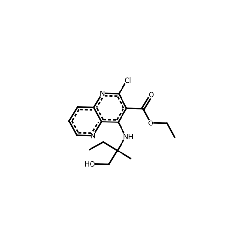 CCOC(=O)c1c(Cl)nc2cccnc2c1NC(C)(CC)CO